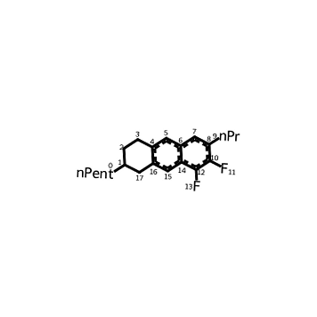 CCCCCC1CCc2cc3cc(CCC)c(F)c(F)c3cc2C1